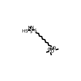 CCO[Si](CCCCCCCCCCSc1nnc(S)s1)(OCC)OCC